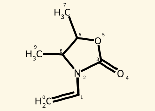 C=CN1C(=O)OC(C)C1C